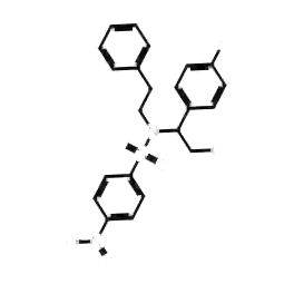 O=[N+]([O-])c1ccc(S(=O)(=O)N(CCc2ccccc2)C(CF)c2ccc(F)cc2)cc1